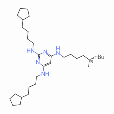 CCCC[C@@H](C)CCCCNc1cc(NCCCCC2CCCC2)nc(NCCCCC2CCCC2)n1